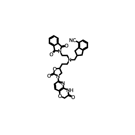 N#Cc1cccc2c1CC(CN(CCC1CN(c3ccc4c(n3)NC(=O)CO4)C(=O)O1)CCN1C(=O)c3ccccc3C1=O)C2